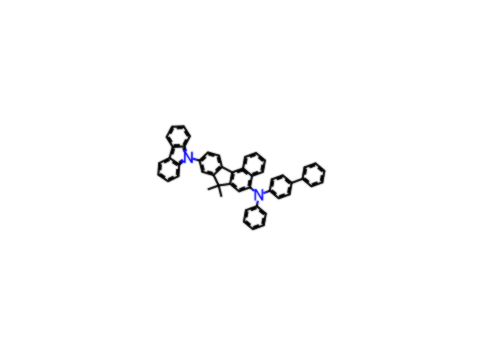 CC1(C)c2cc(-n3c4ccccc4c4ccccc43)ccc2-c2c1cc(N(c1ccccc1)c1ccc(-c3ccccc3)cc1)c1ccccc21